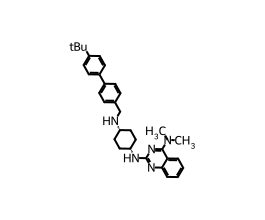 CN(C)c1nc(N[C@H]2CC[C@@H](NCc3ccc(-c4ccc(C(C)(C)C)cc4)cc3)CC2)nc2ccccc12